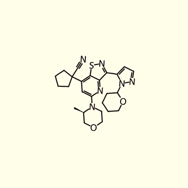 C[C@@H]1COCCN1c1cc(C2(C#N)CCCC2)c2snc(-c3ccnn3C3CCCCO3)c2n1